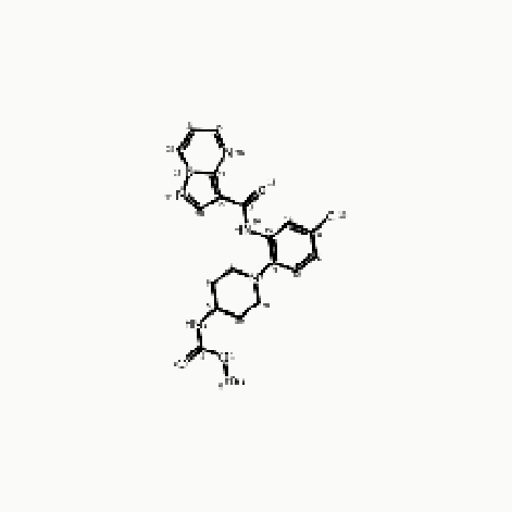 CC(C)(C)OC(=O)NC1CCN(c2ccc(Cl)cc2NC(=O)c2cnn3cccnc23)CC1